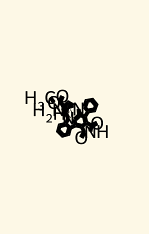 COC(=O)[C@]1(N)CC2C[C@H]1n1c3ccccc3c3c4c(c5c6ccccc6n2c5c31)C(=O)NC4=O